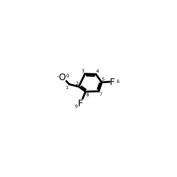 [O]Cc1ccc(F)cc1F